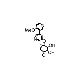 COc1ccncc1-c1cncc(O[C@@H]2SC[C@@H](O)[C@H](O)[C@H]2O)c1